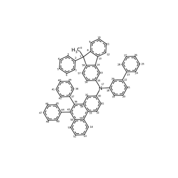 CC1(c2ccccc2)c2ccccc2-c2cc(N(c3cccc(-c4ccccc4)c3)c3ccc4c(c3)c(-c3ccccc3)c(-c3ccccc3)c3ccccc34)ccc21